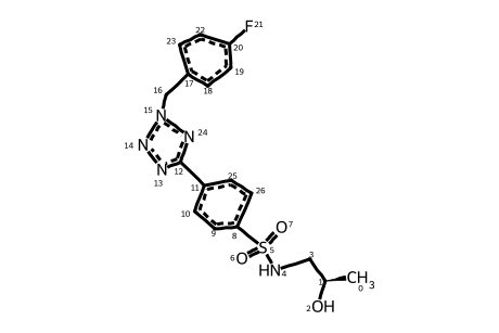 C[C@@H](O)CNS(=O)(=O)c1ccc(-c2nnn(Cc3ccc(F)cc3)n2)cc1